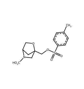 Cc1ccc(S(=O)(=O)OCC23CC(CO2)N(C(=O)O)C3)cc1